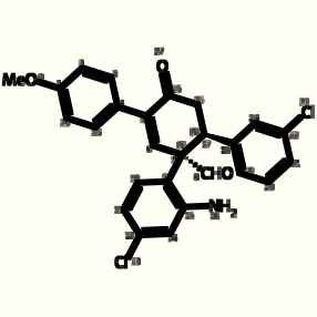 COc1ccc(C2=C[C@](C=O)(c3ccc(Cl)cc3N)[C@H](c3cccc(Cl)c3)CC2=O)cc1